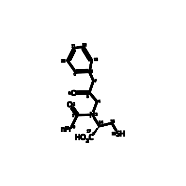 CCCC(=O)N(CC(=O)Cc1ccccc1)[C@H](CS)C(=O)O